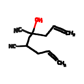 C=CCC(C#N)C(O)(C#N)CC=C